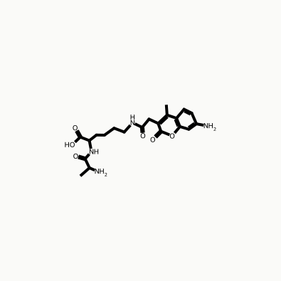 Cc1c(CC(=O)NCCCCC(NC(=O)C(C)N)C(=O)O)c(=O)oc2cc(N)ccc12